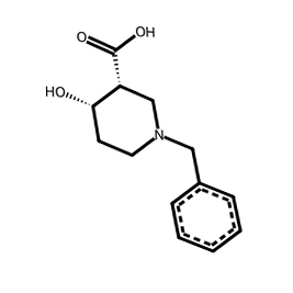 O=C(O)[C@@H]1CN(Cc2ccccc2)CC[C@@H]1O